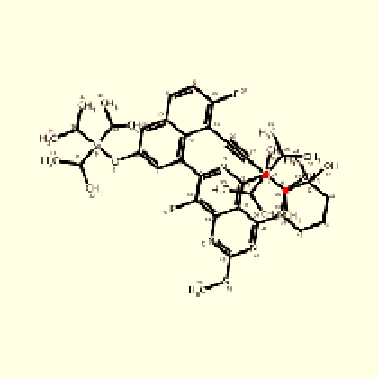 COc1nc(-c2cc(O[Si](C(C)C)(C(C)C)C(C)C)cc3ccc(F)c(C#C[Si](C(C)C)(C(C)C)C(C)C)c23)c(F)c2nc(SC)nc(N3CCC[C@@](C)(O)C3)c12